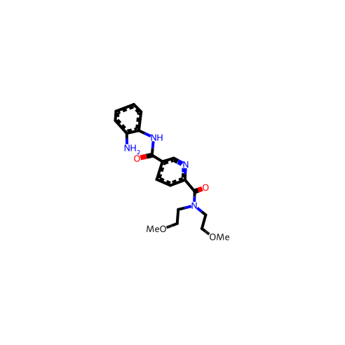 COCCN(CCOC)C(=O)c1ccc(C(=O)Nc2ccccc2N)cn1